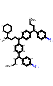 CCCCCCCCCCCCC(c1ccc(N)cc1)c1ccc(C(CCC(C)C2CCCCC2)c2ccc(C(CCCCCCCCCCCC)c3ccc(N)cc3)cc2)cc1